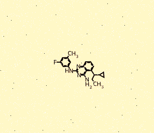 CCC(c1cccc2nc(Nc3cc(C)cc(F)c3)nc(N)c12)C1CC1